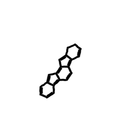 C1=CC2=c3ccc4c(c3C=C2CC1)C=c1ccccc1=4